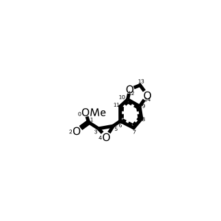 COC(=O)C1OC1c1ccc2c(c1)OCO2